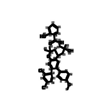 COc1ccc(-c2cc3c(nc2-c2ccc(Cl)cc2Cl)OC(C)(C)CC3CC(C)(O)CNC(=O)c2ccccc2O)cc1